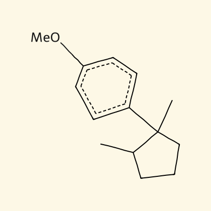 COc1ccc(C2(C)CCCC2C)cc1